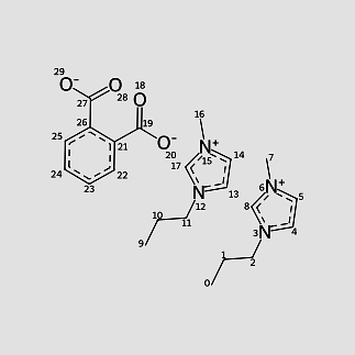 CCCn1cc[n+](C)c1.CCCn1cc[n+](C)c1.O=C([O-])c1ccccc1C(=O)[O-]